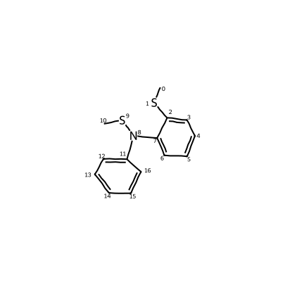 CSc1ccccc1N(SC)c1ccccc1